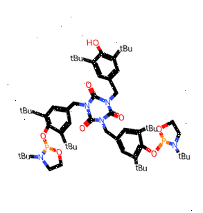 CC(C)(C)c1cc(Cn2c(=O)n(Cc3cc(C(C)(C)C)c(OP4OCCN4C(C)(C)C)c(C(C)(C)C)c3)c(=O)n(Cc3cc(C(C)(C)C)c(OP4OCCN4C(C)(C)C)c(C(C)(C)C)c3)c2=O)cc(C(C)(C)C)c1O